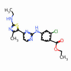 CCNc1nc(C)c(-c2ccnc(Nc3ccc(C(=O)OCC)c(Cl)c3)n2)s1